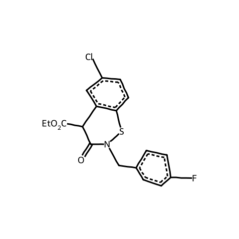 CCOC(=O)C1C(=O)N(Cc2ccc(F)cc2)Sc2ccc(Cl)cc21